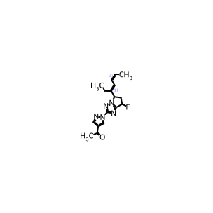 C/C=C\C=C(/CC)C1CC(F)c2nc(-n3cc(C(C)=O)cn3)nn21